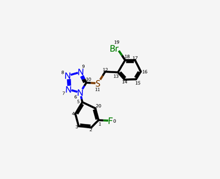 Fc1cccc(-n2nnnc2SCc2ccccc2Br)c1